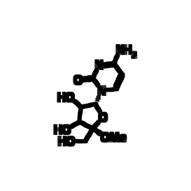 CO[C@]1(CO)O[C@@H](n2ccc(N)nc2=O)C(O)C1O